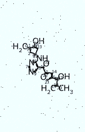 [CH2][C@@H]1C[C@@H](Nc2ncncc2C(=O)c2cc([C@H](O)C(=C)C)co2)C[C@@H]1O